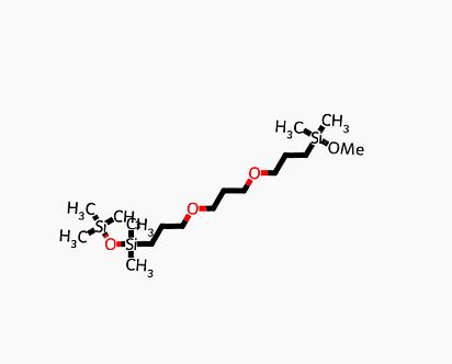 CO[Si](C)(C)CCCOCCCOCCC[Si](C)(C)O[Si](C)(C)C